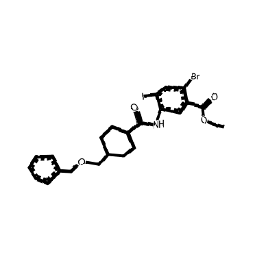 COC(=O)c1cc(NC(=O)C2CCC(COCc3ccccc3)CC2)c(I)cc1Br